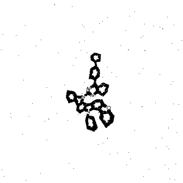 c1ccc(-c2ccc(-c3nc(-n4c5ccccc5c5ccc6c(c7ccc8oc9ccccc9c8c7n6-c6ccccc6)c54)nc4ccccc34)cc2)cc1